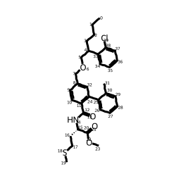 CCCCC(COCc1ccc(C(=O)N[C@@H](CCSC)C(=O)OC)c(-c2ccccc2C)c1)c1ccccc1Cl